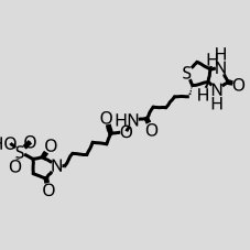 O=C(CCCC[C@@H]1SC[C@@H]2NC(=O)N[C@@H]21)NOC(=O)CCCCCN1C(=O)CC(S(=O)(=O)O)C1=O